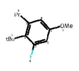 COc1cc(F)c(C(C)(C)C)c(C(C)C)c1